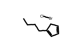 CCCCC1=CC=CC1.ClBr